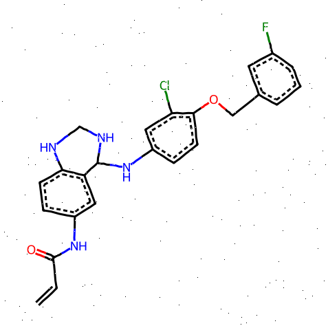 C=CC(=O)Nc1ccc2c(c1)C(Nc1ccc(OCc3cccc(F)c3)c(Cl)c1)NCN2